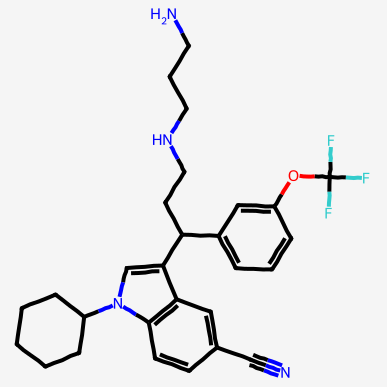 N#Cc1ccc2c(c1)c(C(CCNCCCN)c1cccc(OC(F)(F)F)c1)cn2C1CCCCC1